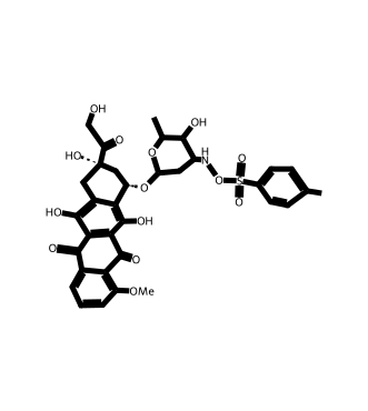 COc1cccc2c1C(=O)c1c(O)c3c(c(O)c1C2=O)C[C@@](O)(C(=O)CO)C[C@@H]3OC1CC(NOS(=O)(=O)c2ccc(C)cc2)C(O)C(C)O1